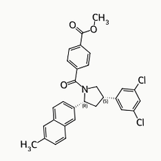 COC(=O)c1ccc(C(=O)N2C[C@H](c3cc(Cl)cc(Cl)c3)C[C@@H]2c2ccc3cc(C)ccc3c2)cc1